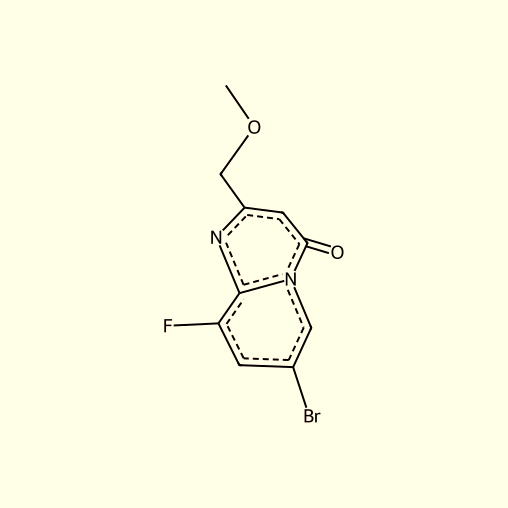 COCc1cc(=O)n2cc(Br)cc(F)c2n1